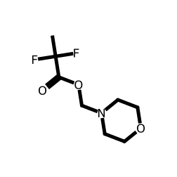 CC(F)(F)C(=O)OCN1CCOCC1